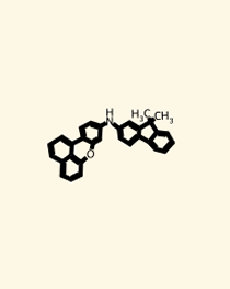 CC1(C)c2ccccc2-c2ccc(Nc3ccc4c(c3)Oc3cccc5cccc-4c35)cc21